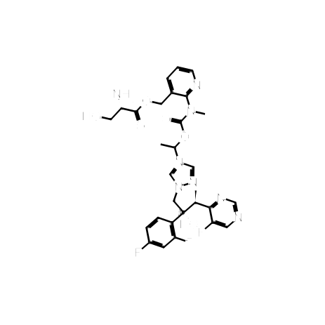 CC(OC(=O)N(C)c1ncccc1COC(=O)[C@@H](N)CO)[n+]1cnn(C[C@](O)(c2ccc(F)cc2F)[C@@H](C)c2ncncc2F)c1